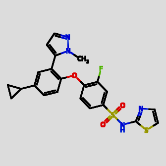 Cn1nccc1-c1cc(C2CC2)ccc1Oc1ccc(S(=O)(=O)Nc2nccs2)cc1F